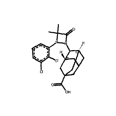 CC1(C)C(=O)N(C2[C@@H]3CC4C[C@H]2CC(C(=O)O)(C4)C3)N1c1cccc(Cl)c1Cl